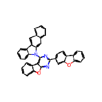 c1ccc2cc3c(cc2c1)c1ccccc1n3-c1nc(-c2ccc3c(c2)oc2ccccc23)nc2oc3ccccc3c12